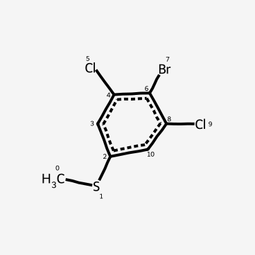 CSc1cc(Cl)c(Br)c(Cl)c1